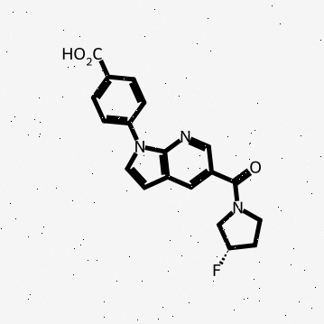 O=C(O)c1ccc(-n2ccc3cc(C(=O)N4CC[C@H](F)C4)cnc32)cc1